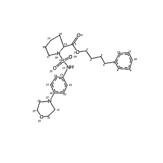 O=C(OCCCCc1ccccc1)C1CCCCN1S(=O)(=O)Nc1ccc(N2CCOCC2)cc1